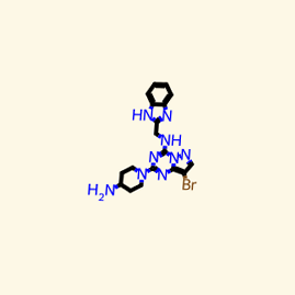 NC1CCN(c2nc(NCc3nc4ccccc4[nH]3)n3ncc(Br)c3n2)CC1